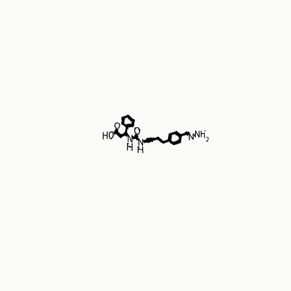 NN=Cc1ccc(CCC#CNC(=O)NC(CC(=O)O)c2ccccc2)cc1